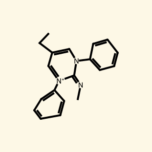 CCc1cn(-c2ccccc2)c(=NC)[n+](-c2ccccc2)c1